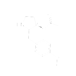 COc1ccc(CC2NC[C@H](C)[C@H]2OC(C)=O)cc1